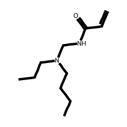 C=CC(=O)NCN(CCC)CCCC